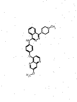 COc1cnc2c(Oc3ccc(Nc4nnc(N5CCN(C)CC5)c5ccccc45)cc3)ccnc2c1